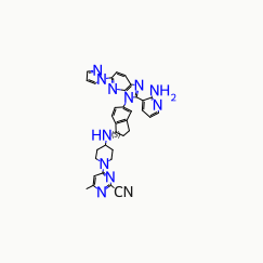 Cc1cc(N2CCC(N[C@H]3CCc4cc(-n5c(-c6cccnc6N)nc6ccc(-n7cccn7)nc65)ccc43)CC2)nc(C#N)n1